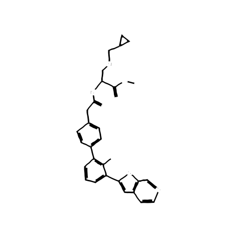 COC(=O)C(CNCC1CC1)NC(=O)Cc1ccc(-c2cccc(-c3cc4ccncc4[nH]3)c2O)cc1